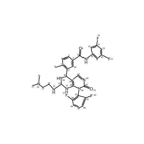 Cc1ccc(C(=O)Nc2cc(F)cc(F)c2)cc1C1NC(NCCN(C)C)Nc2c1cnc(=O)n2-c1c(F)cccc1F